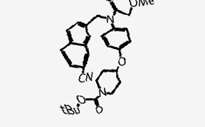 COCC(=O)N(Cc1ccc2ccc(C#N)cc2c1)c1ccc(OC2CCN(C(=O)OC(C)(C)C)CC2)cc1